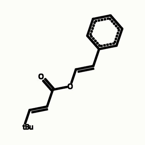 CC(C)(C)C=CC(=O)OC=Cc1ccccc1